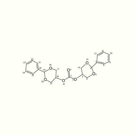 O=C(OC1COC(c2ccccc2)OC1)OC1COC(c2ccccc2)OC1